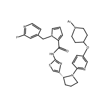 CC(=O)N1CCC(Oc2ccc(N3CCC[C@@H]3c3csc(NC(=O)c4cccn4Cc4ccnc(F)c4)n3)nc2)CC1